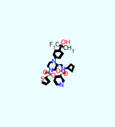 CC(O)(c1ccc(N2CCN(S(=O)(=O)c3cccs3)C[C@@H]2CN(C2CCC2)S(=O)(=O)c2cccnc2)cc1)C(F)(F)F